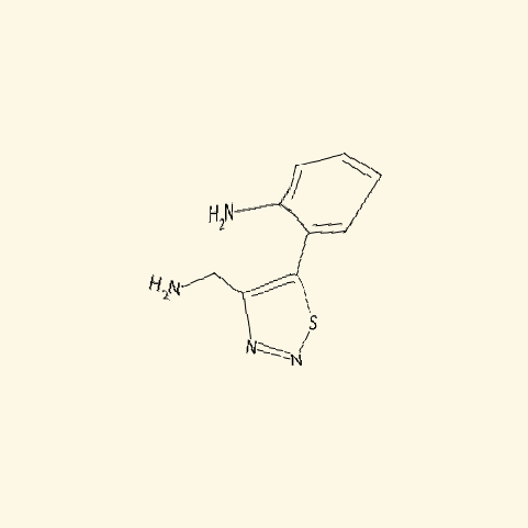 NCc1nnsc1-c1ccccc1N